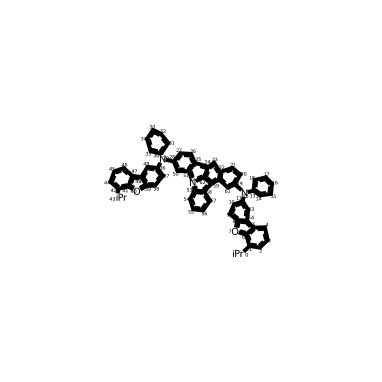 CC(C)c1cccc2c1oc1ccc(N(c3ccccc3)c3ccc4cc5c6ccc(N(c7ccccc7)c7ccc8oc9c(C(C)C)cccc9c8c7)cc6n6c7ccccc7c(c4c3)c56)cc12